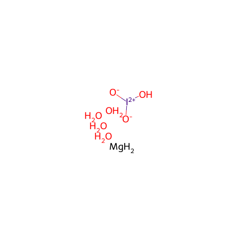 O.O.O.O.[MgH2].[O-][I+2]([O-])O